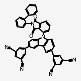 N#Cc1cc(C#N)cc(-c2ccc3c(c2)c2cc(-c4cc(C#N)cc(C#N)c4)ccc2n3-c2cccc3c2C(=O)N(c2ccccc2-c2ccccc2)C3=O)c1